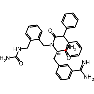 N=C(N)c1cccc(C[C@H](C(N)=O)N(Cc2ccccc2CNC(N)=O)C(=O)C(c2ccccc2)c2ccccc2)c1